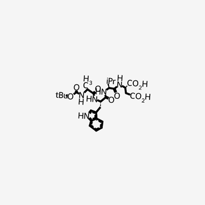 CC(C)[C@H](NC(=O)[C@H](Cc1c[nH]c2ccccc12)NC(=O)[C@H](C)NC(=O)OC(C)(C)C)C(=O)N[C@@H](CC(=O)O)C(=O)O